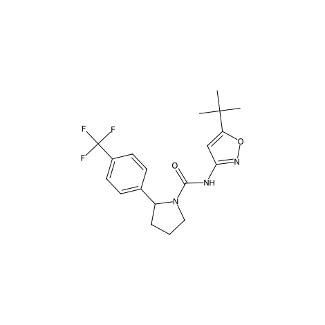 CC(C)(C)c1cc(NC(=O)N2CCCC2c2ccc(C(F)(F)F)cc2)no1